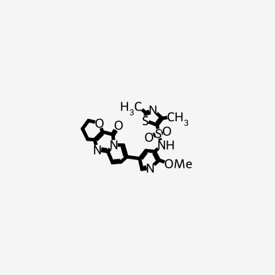 COc1ncc(-c2ccc3nc4c(c(=O)n3c2)OCCC4)cc1NS(=O)(=O)c1sc(C)nc1C